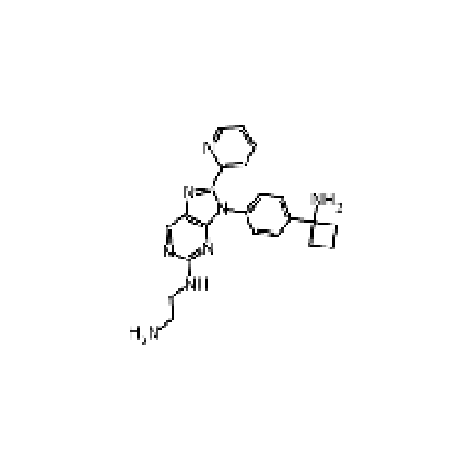 NCCNc1ncc2nc(-c3ccccn3)n(-c3ccc(C4(N)CCC4)cc3)c2n1